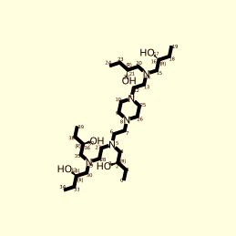 CC[C@@H](O)CN(CCN1CCN(CCN(C[C@H](O)CC)C[C@H](O)CC)CC1)CCN(C[C@H](O)CC)C[C@H](O)CC